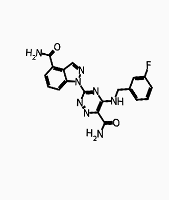 NC(=O)c1nnc(-n2ncc3c(C(N)=O)cccc32)nc1NCc1cccc(F)c1